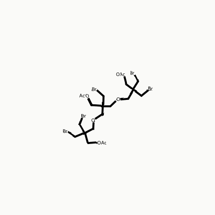 CC(=O)OCC(CBr)(CBr)COCC(CBr)(COCC(CBr)(CBr)COC(C)=O)COC(C)=O